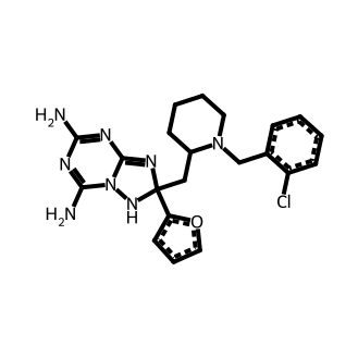 NC1=NC2=NC(CC3CCCCN3Cc3ccccc3Cl)(c3ccco3)NN2C(N)=N1